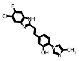 Cc1cn(-c2ccc(/C=C/c3nc4cc(Cl)c(F)cc4[nH]3)cc2O)cn1